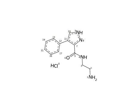 Cl.NCCNC(=O)c1n[nH]cc1-c1ccccc1